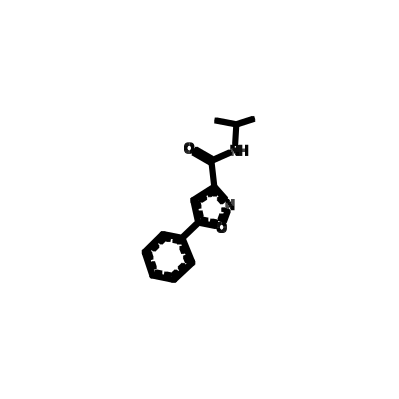 CC(C)NC(=O)c1cc(-c2ccccc2)on1